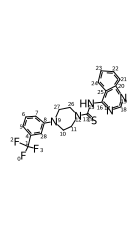 FC(F)(F)c1cccc(N2CCN(C(=S)Nc3ncnc4ccccc34)CC2)c1